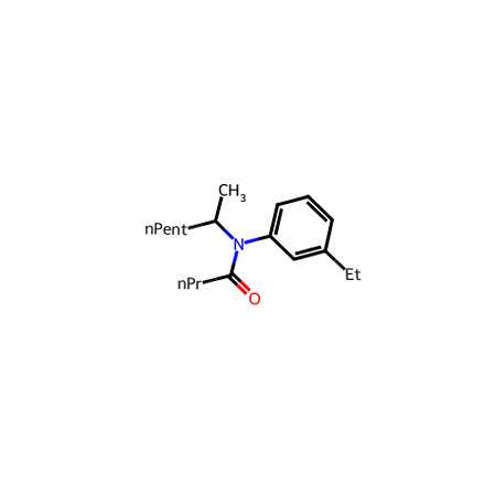 CCCCCC(C)N(C(=O)CCC)c1cccc(CC)c1